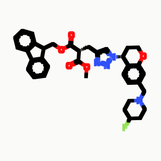 COC(=O)[C@@H](Cc1cn([C@@H]2CCOc3cc(CN4CCC(F)CC4)ccc32)nn1)C(=O)OCC1c2ccccc2-c2ccccc21